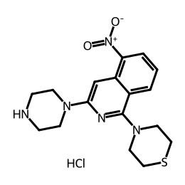 Cl.O=[N+]([O-])c1cccc2c(N3CCSCC3)nc(N3CCNCC3)cc12